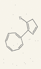 [Ti][C]1=C(C2=CC=CC=CC=C2)C=CC1